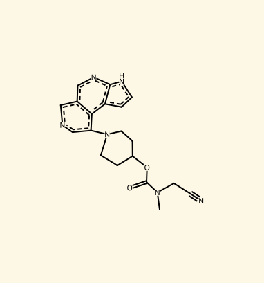 CN(CC#N)C(=O)OC1CCN(c2cncc3cnc4[nH]ccc4c23)CC1